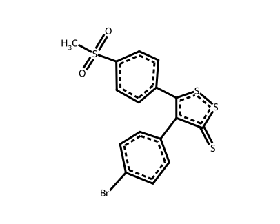 CS(=O)(=O)c1ccc(-c2ssc(=S)c2-c2ccc(Br)cc2)cc1